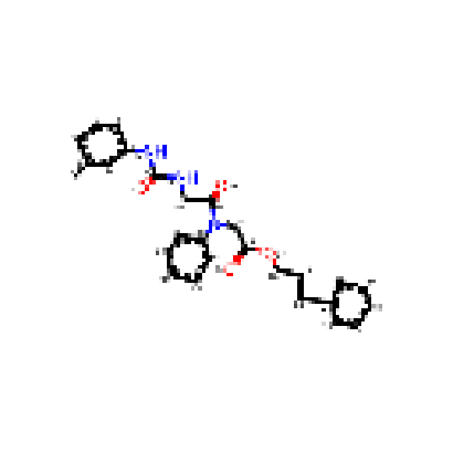 Cc1cccc(NC(=O)NCC(=O)N(CC(=O)OCC=Cc2ccccc2)c2ccccc2)c1